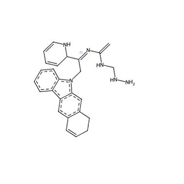 C=C(/N=C(\Cn1c2ccccc2c2cc3c(cc21)CCC=C3)C1C=CC=CN1)NCNN